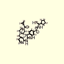 N=C(NOC(=O)c1ccc2nc(Nc3cc(CN4CCN(C(=O)C5CC5)CC4)ccn3)[nH]c2c1)C1CCCC1